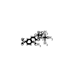 BC(B)(B)NC(=O)C(B)(B)Oc1cc2cc([N+](=O)[O-])ccc2n(C)c1=O